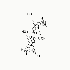 CC(C)(C)c1ccc2c(c1)N(CCCCCCO)c1ccc(C(C)(C)CCC(C)(C)c3ccc4c(c3)N(CCCCCCO)c3cc(C(C)(C)C)ccc3N4CCCCCCO)cc1N2CCCCCCO